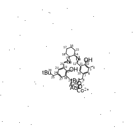 CC(=O)[O-].CC(=O)[O-].Cc1cc(CC(C)(C)C)cc(C=NC2CCCCC2N=Cc2cc(CC(C)(C)C)cc(C)c2O)c1O.[Co+2]